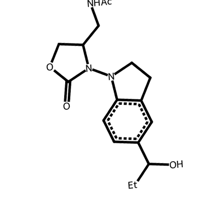 CCC(O)c1ccc2c(c1)CCN2N1C(=O)OCC1CNC(C)=O